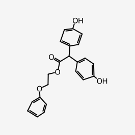 O=C(OCCOc1ccccc1)C(c1ccc(O)cc1)c1ccc(O)cc1